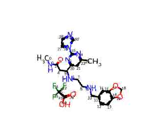 CNC(=O)CC(NCCNCc1ccc2c(c1)OCO2)c1cc(C)nc(-n2ccnc2)n1.O=C(O)C(F)(F)F